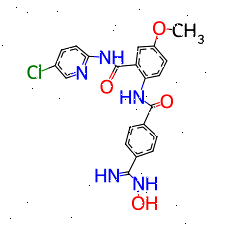 COc1ccc(NC(=O)c2ccc(C(=N)NO)cc2)c(C(=O)Nc2ccc(Cl)cn2)c1